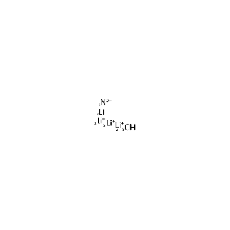 Cl.[Li+].[Li+].[Li+].[Li+].[N-3]